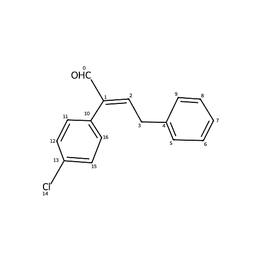 O=CC(=CCc1ccccc1)c1ccc(Cl)cc1